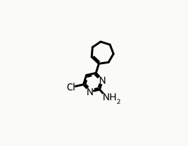 Nc1nc(Cl)cc(C2=CCCCCC2)n1